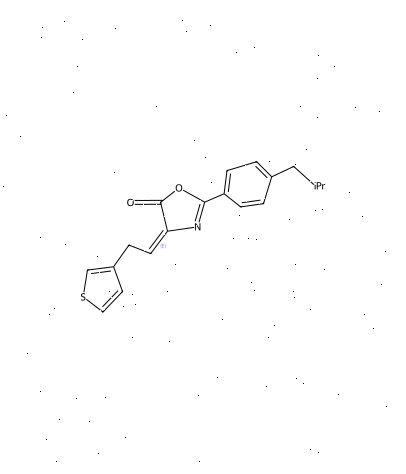 CC(C)Cc1ccc(C2=N/C(=C/Cc3ccsc3)C(=O)O2)cc1